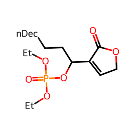 CCCCCCCCCCCCC(OP(=O)(OCC)OCC)C1=CCOC1=O